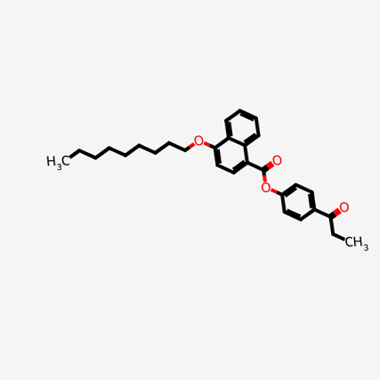 CCCCCCCCCOc1ccc(C(=O)Oc2ccc(C(=O)CC)cc2)c2ccccc12